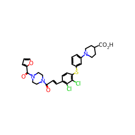 O=C(O)C1CCN(c2cccc(Sc3ccc(C=CC(=O)N4CCN(C(=O)c5ccco5)CC4)c(Cl)c3Cl)c2)CC1